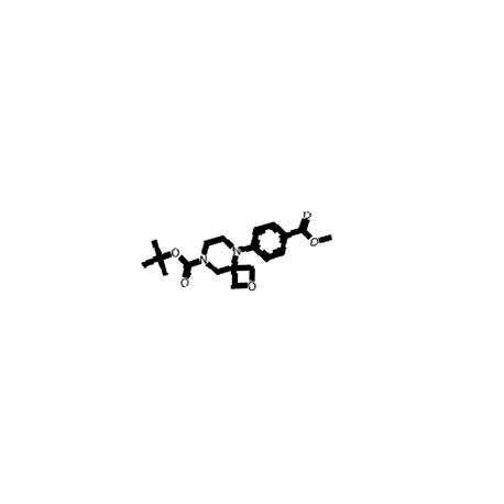 COC(=O)c1ccc(N2CCN(C(=O)OC(C)(C)C)CC23COC3)cc1